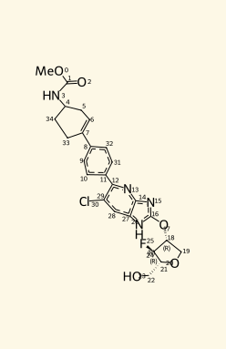 COC(=O)NC1CC=C(c2ccc(-c3nc4nc(O[C@@H]5CO[C@H](CO)[C@H]5F)[nH]c4cc3Cl)cc2)CC1